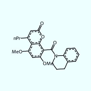 CCCc1cc(=O)oc2c(C(=O)N3CCCc4ccccc43)c(OC)cc(OC)c12